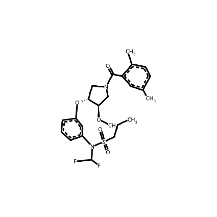 CCCS(=O)(=O)N(c1cccc(O[C@@H]2CN(C(=O)c3cc(C)ccc3C)C[C@H]2OC)c1)C(F)F